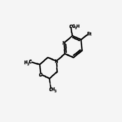 CCc1ccc(N2CC(C)OC(C)C2)nc1C(=O)O